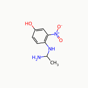 CC(N)Nc1ccc(O)cc1[N+](=O)[O-]